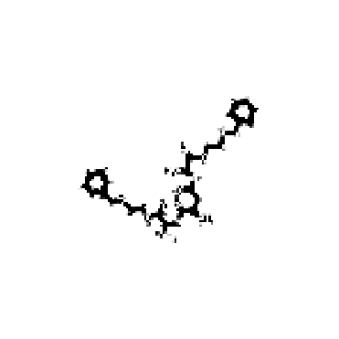 C=C(CC(=O)OC(C)C(=O)OCCOCc1ccccc1)C(=O)OC(C)C(=O)OCCOCc1ccccc1